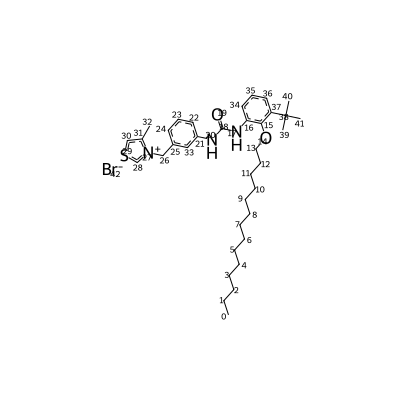 CCCCCCCCCCCCCCOc1c(NC(=O)Nc2cccc(C[n+]3cscc3C)c2)cccc1C(C)(C)C.[Br-]